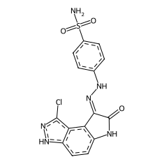 NS(=O)(=O)c1ccc(N/N=C2\C(=O)Nc3ccc4[nH]nc(Cl)c4c32)cc1